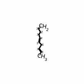 C=CCC/C=C/C/C=C/C